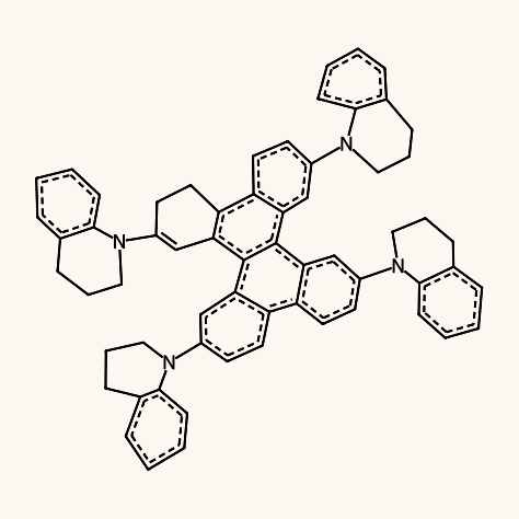 C1=C(N2CCCc3ccccc32)CCc2c1c1c3cc(N4CCCc5ccccc54)ccc3c3ccc(N4CCCc5ccccc54)cc3c1c1cc(N3CCCc4ccccc43)ccc21